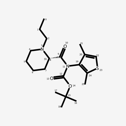 CCCN1CCCC[C@H]1C(=O)N(C(=O)OC(C)(C)C)c1c(C)csc1C